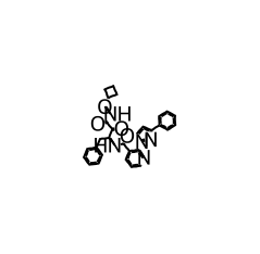 O=C(NOC1CCC1)C(=O)C(Cc1ccccc1)NC(=O)c1cccnc1-n1ccc(-c2ccccc2)n1